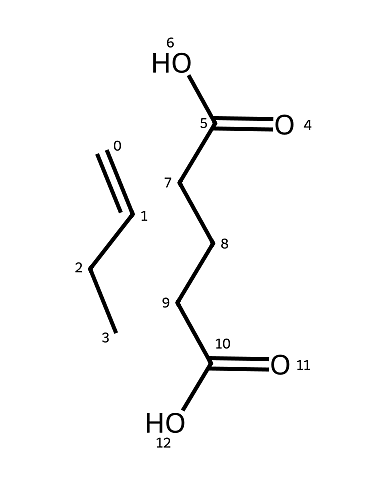 C=CCC.O=C(O)CCCC(=O)O